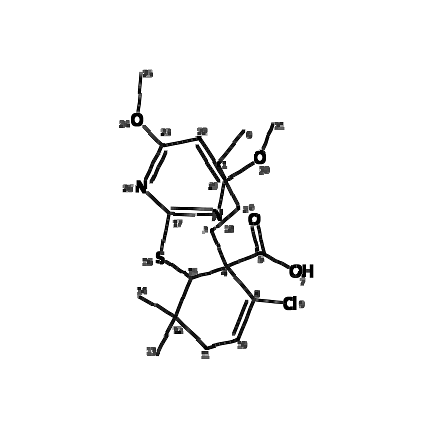 CCCCC1(C(=O)O)C(Cl)=CCC(C)(C)C1Sc1nc(OC)cc(OC)n1